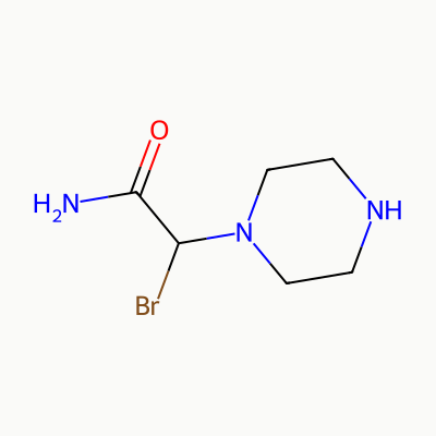 NC(=O)C(Br)N1CCNCC1